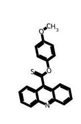 COc1ccc(OC(=S)c2c3ccccc3nc3ccccc23)cc1